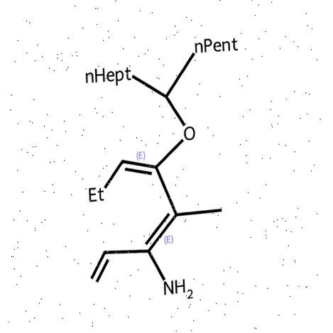 C=C/C(N)=C(C)\C(=C/CC)OC(CCCCC)CCCCCCC